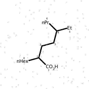 CCCCCCC(CCC(CC)CCC)C(=O)O